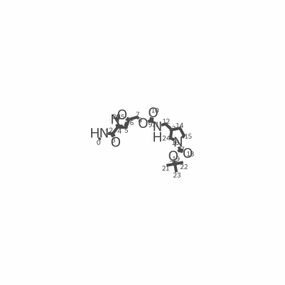 CNC(=O)c1cc(COC(=O)NCC2CCN(C(=O)OC(C)(C)C)C2)on1